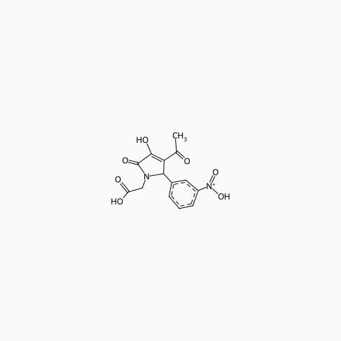 CC(=O)C1=C(O)C(=O)N(CC(=O)O)C1c1cccc([N+](=O)O)c1